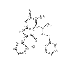 CC(OCc1ccccc1)c1c2c(=O)n(-c3ccccc3Cl)[nH]c2cc(=O)n1C